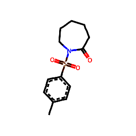 Cc1ccc(S(=O)(=O)N2CCCCCC2=O)cc1